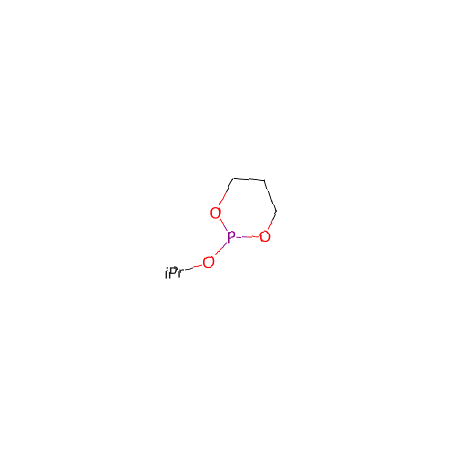 CC(C)OP1OCCCO1